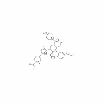 CCOc1ccc(Cl)c(-n2c(CC(C)C)c(C(=O)N3CCNCC3)cc(-c3nc(-c4ccc(C(F)F)nc4)cs3)c2=O)c1